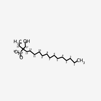 CCCCCCCCCCCCCCC(CC)(CO)[N+](=O)[O-]